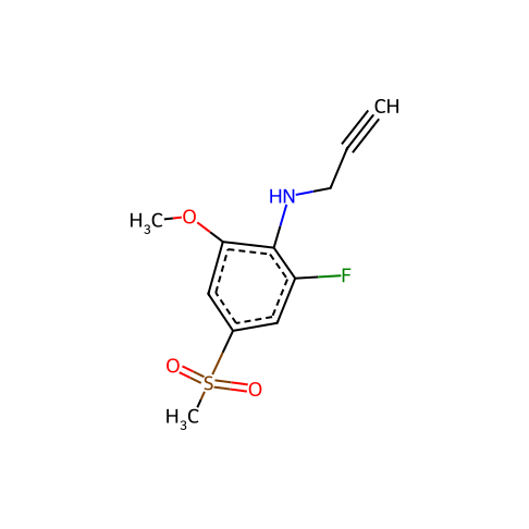 C#CCNc1c(F)cc(S(C)(=O)=O)cc1OC